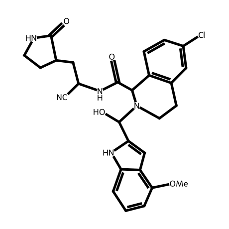 COc1cccc2[nH]c(C(O)N3CCc4cc(Cl)ccc4C3C(=O)NC(C#N)CC3CCNC3=O)cc12